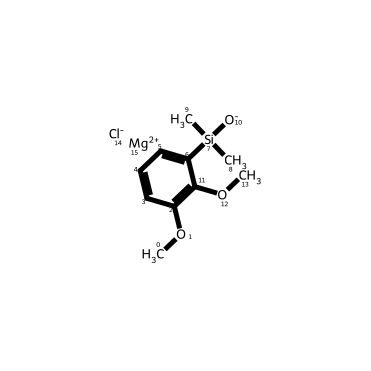 COc1cccc([Si](C)(C)[O-])c1OC.[Cl-].[Mg+2]